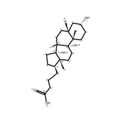 C[C@]12CC[C@@H](O)C[C@H]1CC[C@@H]1[C@@H]2CC[C@]2(C)[C@@H](CCCC(=O)O)CC[C@@H]12